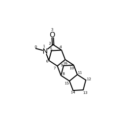 CN1C(=O)C2CC1C1C3CC(C4CCCC43)C21